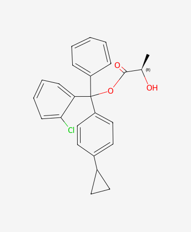 C[C@@H](O)C(=O)OC(c1ccccc1)(c1ccc(C2CC2)cc1)c1ccccc1Cl